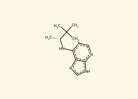 C[C@@H](Nc1ncnc2[nH]cnc12)C(C)(C)C